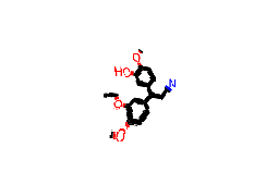 CCOc1cc(C(=CC#N)c2ccc(OC)c(O)c2)ccc1OC